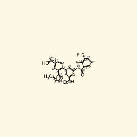 CCNc1cc(-c2ccc([C@H](C)O)cc2-c2nncn2C)cc(N2Cc3c(cccc3C(F)(F)F)C2=O)n1